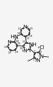 Cc1nn(C)c(Cl)c1-c1nc2c([nH]1)-c1ccncc1Nc1ncccc1-2